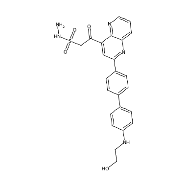 NNS(=O)(=O)CC(=O)c1cc(-c2ccc(-c3ccc(NCCO)cc3)cc2)nc2cccnc12